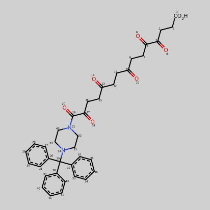 O=C(O)CCC(=O)C(=O)CCC(=O)CCC(=O)CCC(=O)C(=O)N1CCN(C(c2ccccc2)(c2ccccc2)c2ccccc2)CC1